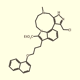 CCOC(=O)c1c(CCCOc2cccc3ccccc23)c2cccc3c2n1CCCN(C)Cc1[nH]nc(CCl)c1-3